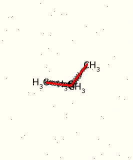 CCCCCCCCCCCCCCCCCCCCCC[N+](C)(C)CCCCCCCCCCCCCCCCCCCCCC